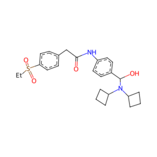 CCS(=O)(=O)c1ccc(CC(=O)Nc2ccc(C(O)N(C3CCC3)C3CCC3)cc2)cc1